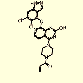 C=CC(=O)N1CCN(c2nc(O)nc3c(Oc4c(Cl)c(Cl)cc5[nH]ncc45)nccc23)CC1